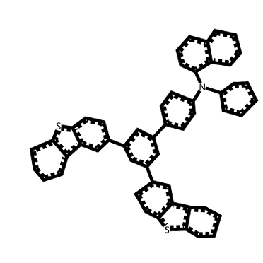 c1ccc(N(c2ccc(-c3cc(-c4ccc5sc6ccccc6c5c4)cc(-c4ccc5sc6ccccc6c5c4)c3)cc2)c2cccc3ccccc23)cc1